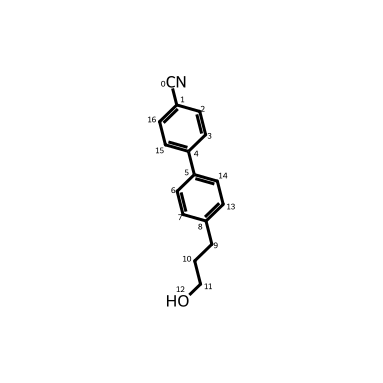 N#Cc1ccc(-c2ccc(CCCO)cc2)cc1